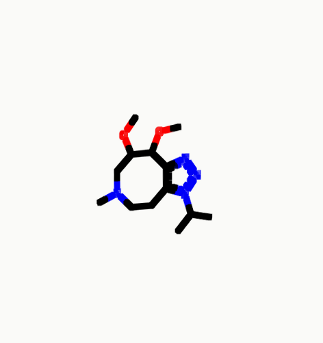 COC1CN(C)CCc2c(nnn2C(C)C)C1OC